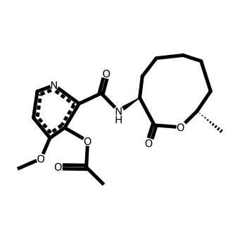 COc1ccnc(C(=O)N[C@H]2CCCCC[C@H](C)OC2=O)c1OC(C)=O